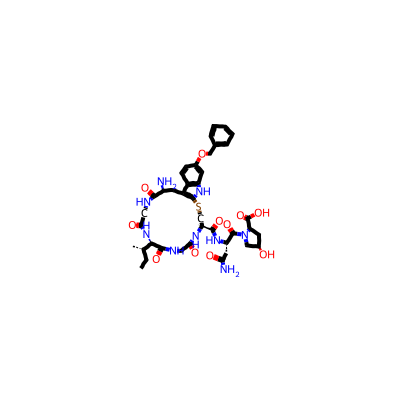 CC[C@H](C)[C@@H]1NC(=O)CNC(=O)[C@@H](N)Cc2c([nH]c3cc(OCc4ccccc4)ccc23)SC[C@@H](C(=O)N[C@@H](CC(N)=O)C(=O)N2C[C@H](O)CC2C(=O)O)NC(=O)CNC1=O